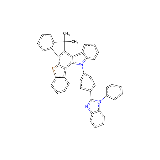 CC1(C)c2ccccc2-c2c1c1c3ccccc3n(-c3ccc(-c4nc5ccccc5n4-c4ccccc4)cc3)c1c1c2sc2ccccc21